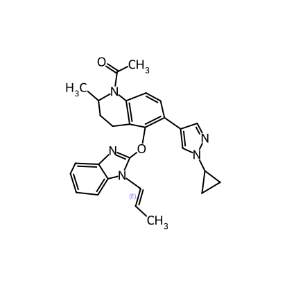 C/C=C/n1c(Oc2c(-c3cnn(C4CC4)c3)ccc3c2CCC(C)N3C(C)=O)nc2ccccc21